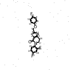 O=C1c2sc(COc3ccc(F)cc3)nc2CCN1c1ccc(F)cc1F